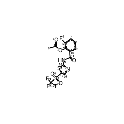 CC(=O)Oc1c(F)cccc1C(=O)Nc1ncc(S(=O)(=O)C(F)(F)F)s1